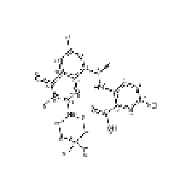 Cc1cc([C@@H](C)Nc2ccc(Cl)nc2C(=O)O)c2oc(N3CCC(F)(F)CC3)c(C)c(=O)c2c1